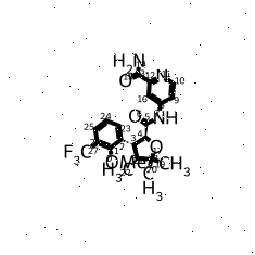 COc1c([C@@H]2[C@@H](C(=O)Nc3ccnc(C(N)=O)c3)OC(C)(C)[C@@H]2C)cccc1C(F)(F)F